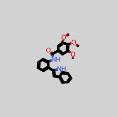 COc1cc(C(=O)Nc2ccccc2-c2cc3ccccc3[nH]2)cc(OC)c1OC